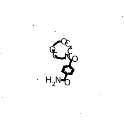 NC(=O)c1ccc(C(=O)N2CCCOCCOCCC2)cc1